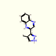 Cc1c[nH]nc1-c1cnc2ccccc2n1